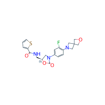 O=C(NC[C@H]1CN(c2ccc(N3CC4(COC4)C3)c(F)c2)C(=O)O1)c1cccs1